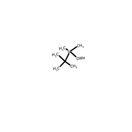 CO[Si](C)(C)C(C)(C)C